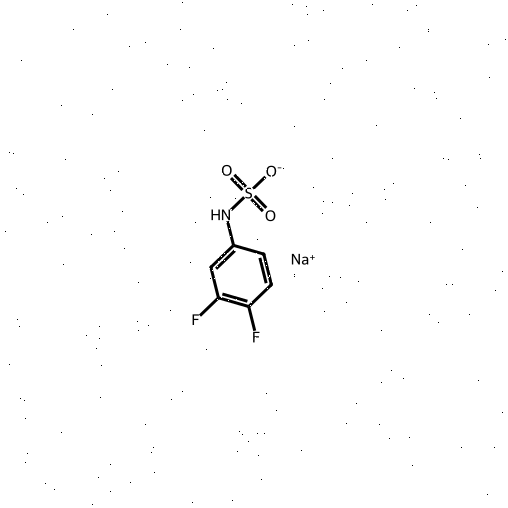 O=S(=O)([O-])Nc1ccc(F)c(F)c1.[Na+]